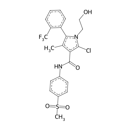 Cc1c(C(=O)Nc2ccc(S(C)(=O)=O)cc2)c(Cl)n(CCO)c1-c1ccccc1C(F)(F)F